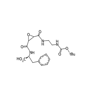 CC(C)(C)OC(=O)NCCNC(=O)C1OC1C(=O)N[C@@H](Cc1ccccc1)C(=O)O